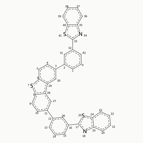 c1cc(-c2ccc3sc4ccc(-c5cccc(-c6nc7ccccc7s6)c5)cc4c3c2)cc(-c2nc3ccccc3s2)c1